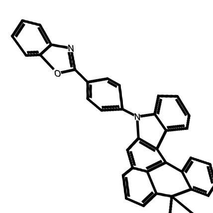 CC1(C)c2ccccc2-c2c3c1cccc3cc1c2c2ccccc2n1-c1ccc(-c2nc3ccccc3o2)cc1